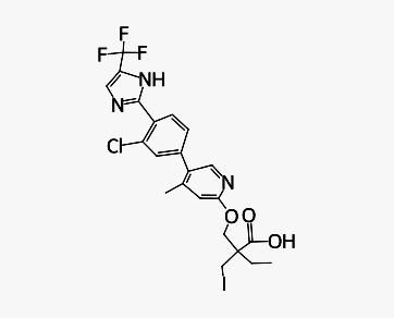 CCC(CI)(COc1cc(C)c(-c2ccc(-c3ncc(C(F)(F)F)[nH]3)c(Cl)c2)cn1)C(=O)O